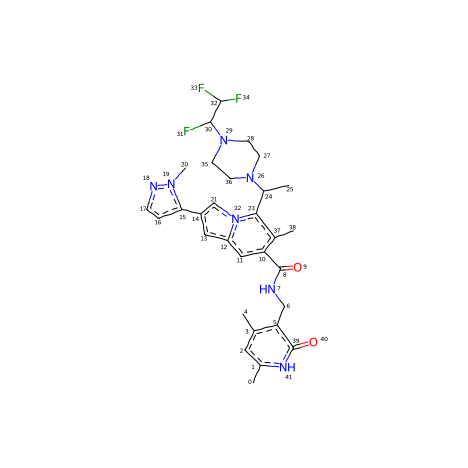 Cc1cc(C)c(CNC(=O)c2cc3cc(-c4ccnn4C)cn3c(C(C)N3CCN(C(F)C(F)F)CC3)c2C)c(=O)[nH]1